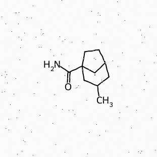 CC1CC2[CH]C(C(N)=O)(CC2)C1